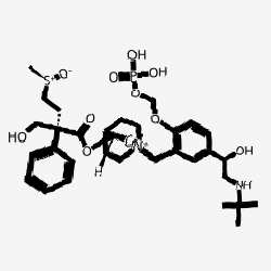 C[S@@+]([O-])CC[C@](CO)(C(=O)O[C@H]1C[N+]2(Cc3cc(C(O)CNC(C)(C)C)ccc3OCOP(=O)(O)O)CCC1CC2)c1ccccc1